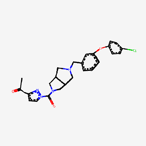 CC(=O)c1ccn(C(=O)N2CC3CN(Cc4cccc(Oc5ccc(Cl)cc5)c4)CC3C2)n1